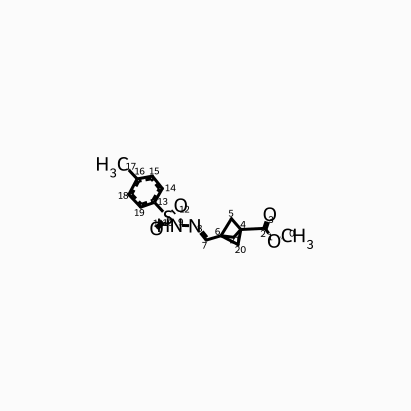 COC(=O)C12CC(C=NNS(=O)(=O)c3ccc(C)cc3)(C1)C2